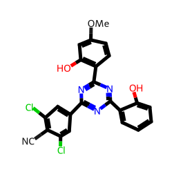 COc1ccc(-c2nc(-c3cc(Cl)c(C#N)c(Cl)c3)nc(-c3ccccc3O)n2)c(O)c1